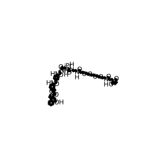 CC(C)[C@H](NCC(=O)NCCNC(=O)CCOCCOCCOCCOCCNC(=O)CCN1C(=O)C=CC1=O)C(=O)NCC(=O)Nc1ccc(C(=O)NC2C=Cc3oc(C(=O)N4CCC5=C6C=CCCC6C(O)C=C54)cc3C2)cc1